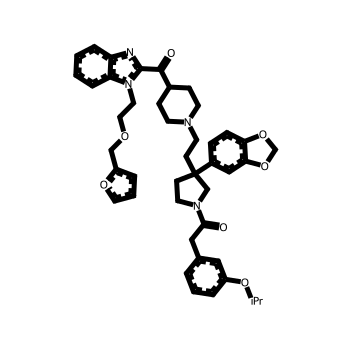 CC(C)Oc1cccc(CC(=O)N2CCC(CCN3CCC(C(=O)c4nc5ccccc5n4CCOCc4ccco4)CC3)(c3ccc4c(c3)OCO4)C2)c1